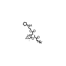 CO[C@@H](C)C(=O)N[C@@H](CCC(=O)C=[N+]=[N-])C(=O)OCCNC1CCCC1